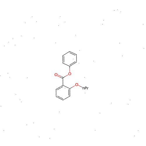 CCCOc1ccccc1C(=O)Oc1ccccc1